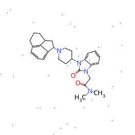 CN(C)C(=O)Cn1c(=O)n(C2CCN(C3CC4CCCc5cccc3c54)CC2)c2ccccc21